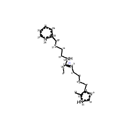 CS/C(=N\CCSCc1nc[nH]c1C)NCCSCc1ccccn1